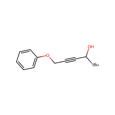 CC(C)(C)C(O)C#CCOc1ccccc1